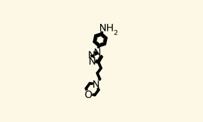 Nc1ccc(-n2cc(CCCN3CCOCC3)nn2)cc1